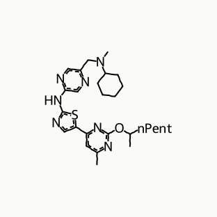 CCCCCC(C)Oc1nc(C)cc(-c2cnc(Nc3cnc(CN(C)C4CCCCC4)cn3)s2)n1